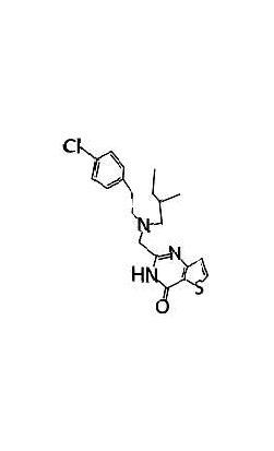 CCC(C)CN(CCc1ccc(Cl)cc1)Cc1nc2ccsc2c(=O)[nH]1